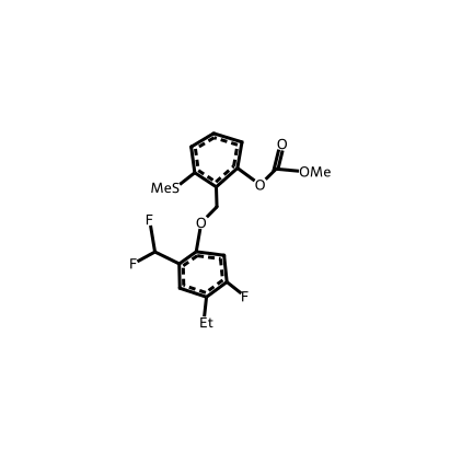 CCc1cc(C(F)F)c(OCc2c(OC(=O)OC)cccc2SC)cc1F